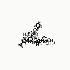 CC(C)(C)OC(=O)N1C[C@@H]2C(Oc3cc(C(C)(C)NC(=O)OCc4ccccc4)cc(-n4cc(C5CC5)cn4)n3)[C@@H]2C1